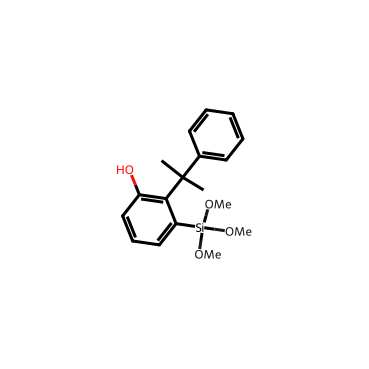 CO[Si](OC)(OC)c1cccc(O)c1C(C)(C)c1ccccc1